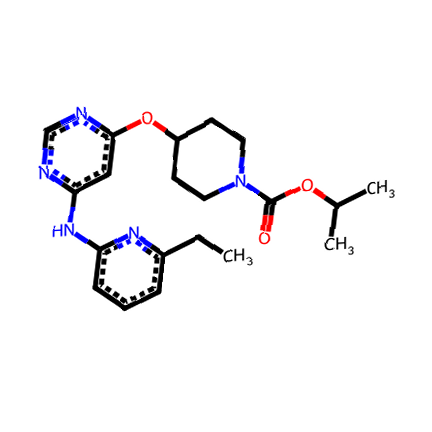 CCc1cccc(Nc2cc(OC3CCN(C(=O)OC(C)C)CC3)ncn2)n1